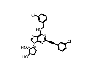 OC1CC[C@@H](n2cnc3c(NCc4cccc(Cl)c4)nc(C#Cc4cccc(Cl)c4)nc32)[C@@H]1O